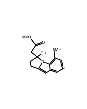 COC(=O)CC1(O)CCc2cc3cncc(SC)c3n21